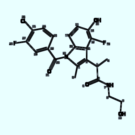 Cc1c(C(C)C(=O)NCCO)c2c(F)c(O)ccc2n1C(=O)c1ccc(Cl)c(F)c1